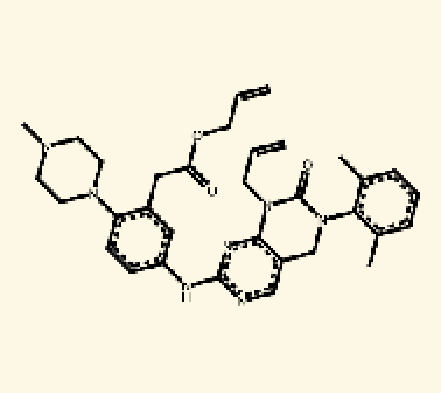 C=CCOC(=O)Cc1cc(Nc2ncc3c(n2)N(CC=C)C(=O)N(c2c(C)cccc2C)C3)ccc1N1CCN(C)CC1